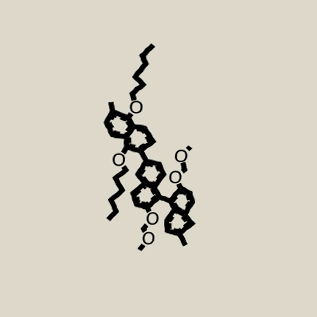 CCCCCCOc1c(C)ccc2c(OCCCCCC)c(-c3ccc4c(-c5c(OCOC)ccc6cc(C)ccc56)c(OCOC)ccc4c3)ccc12